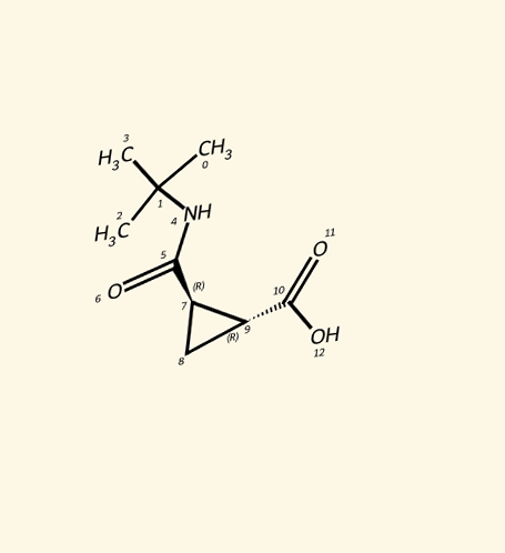 CC(C)(C)NC(=O)[C@@H]1C[C@H]1C(=O)O